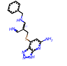 N=C/C(=C\NCc1ccccc1)CSc1cc(N)nc2[nH]nnc12